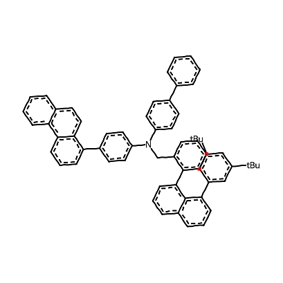 CC(C)(C)c1cc(-c2cccc3cccc(-c4ccccc4CN(c4ccc(-c5ccccc5)cc4)c4ccc(-c5cccc6c5ccc5ccccc56)cc4)c23)cc(C(C)(C)C)c1